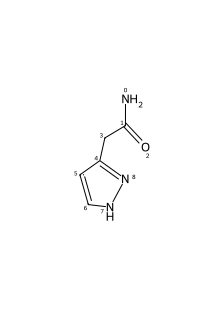 NC(=O)Cc1[c]c[nH]n1